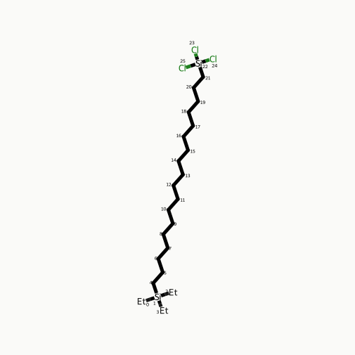 CC[Si](CC)(CC)CCCCCCCCCCCCCCCCCC[Si](Cl)(Cl)Cl